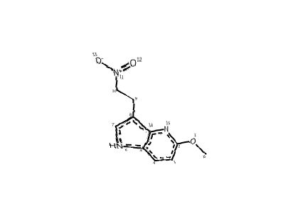 COc1ccc2[nH]cc(CC[N+](=O)[O-])c2n1